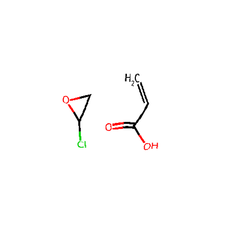 C=CC(=O)O.ClC1CO1